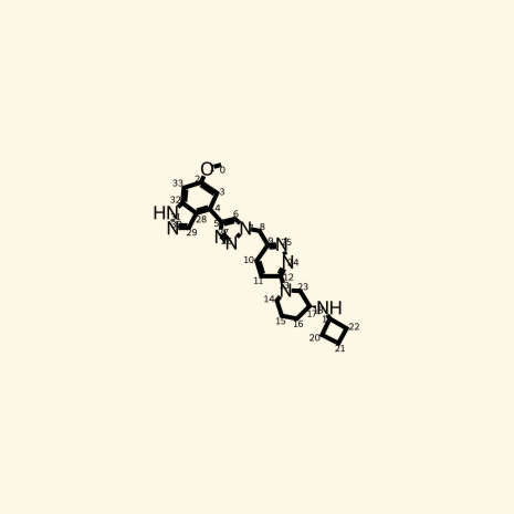 COc1cc(-c2cn(Cc3ccc(N4CCC[C@@H](NC5CCC5)C4)nn3)nn2)c2cn[nH]c2c1